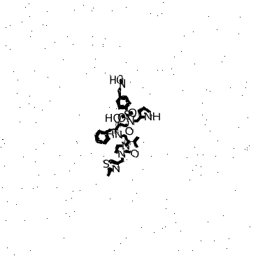 Cc1nc(CN2CCN([C@H](C(=O)N[C@@H](Cc3ccccc3)[C@@H](O)CN(CC3CCCN3)S(=O)(=O)c3ccc(C=NO)cc3)C(C)C)C2=O)cs1